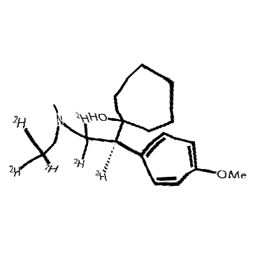 [2H]C([2H])([2H])N(C)C([2H])([2H])[C@]([2H])(c1ccc(OC)cc1)C1(O)CCCCC1